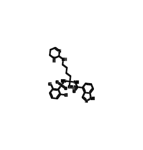 O=C(NC(CCCCNC1N=CCCN1)(NS(=O)(=O)c1c(Cl)cccc1Cl)C(=O)O)c1cccc2[nH]ncc12